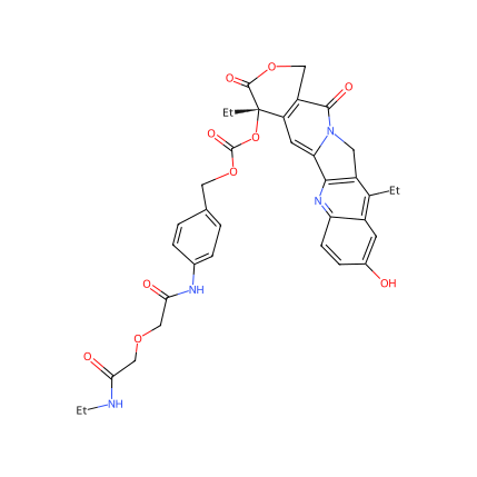 CCNC(=O)COCC(=O)Nc1ccc(COC(=O)O[C@]2(CC)C(=O)OCc3c2cc2n(c3=O)Cc3c-2nc2ccc(O)cc2c3CC)cc1